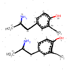 NC(Cc1ccc(O)c([N+](=O)[O-])c1)C(=O)O.NC(Cc1ccc(O)c([N+](=O)[O-])c1)C(=O)O